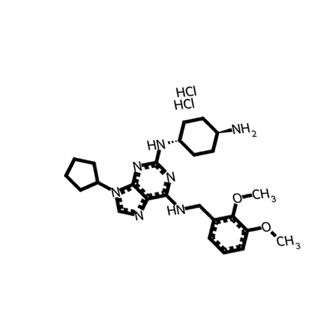 COc1cccc(CNc2nc(N[C@H]3CC[C@H](N)CC3)nc3c2ncn3C2CCCC2)c1OC.Cl.Cl